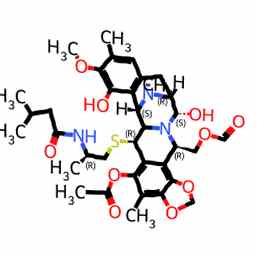 COc1c(C)cc2c(c1O)[C@H]1C3[C@H](SC[C@@H](C)NC(=O)CC(C)C)c4c(OC(C)=O)c(C)c5c(c4[C@H](COC=O)N3[C@@H](O)[C@@H](C2)N1C)OCO5